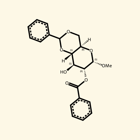 CO[C@H]1O[C@@H]2COC(c3ccccc3)O[C@H]2[C@H](O)[C@H]1OC(=O)c1ccccc1